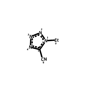 CCn1nnnc1C#N